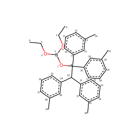 CCOB(OCC)OC(c1cccc(C)c1)(c1cccc(C)c1)C(c1cccc(C)c1)c1cccc(C)c1